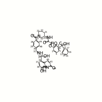 O=C(COc1cccc(C(O)(C(=O)O)c2ccccc2)c1)N[C@@H]1CCCN(C(=O)c2ccc(CNCC(O)c3ccc(O)c4[nH]c(=O)ccc34)cc2)C1